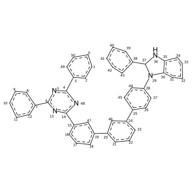 c1ccc(-c2nc(-c3ccccc3)nc(-c3cccc(-c4cccc(-c5ccc(N6c7ccccc7NC6c6ccccc6)cc5)c4)c3)n2)cc1